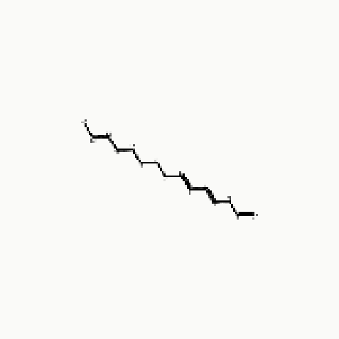 [CH]=CCC=CC=CCCCCCCCC